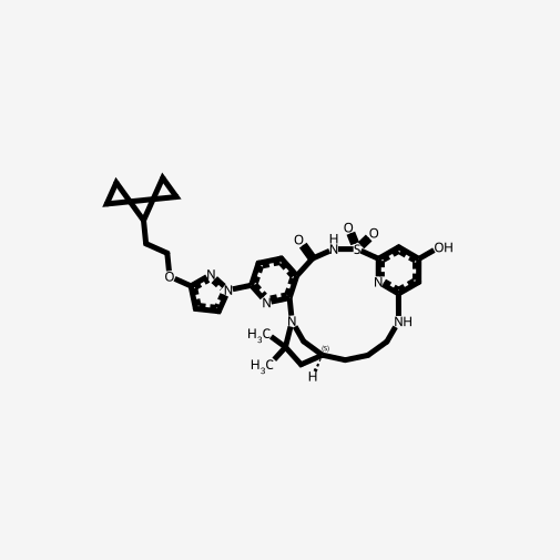 CC1(C)C[C@@H]2CCCNc3cc(O)cc(n3)S(=O)(=O)NC(=O)c3ccc(-n4ccc(OCCC5C6(CC6)C56CC6)n4)nc3N1C2